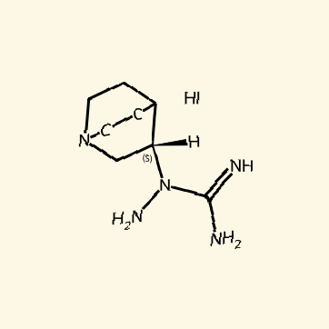 I.N=C(N)N(N)[C@@H]1CN2CCC1CC2